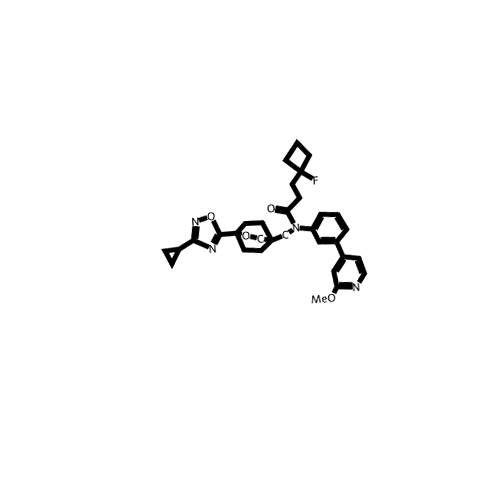 COc1cc(-c2cccc(N(CC34CCC(c5nc(C6CC6)no5)(CC3)OC4)C(=O)CCC3(F)CCC3)c2)ccn1